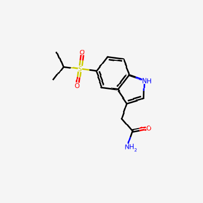 CC(C)S(=O)(=O)c1ccc2[nH]cc(CC(N)=O)c2c1